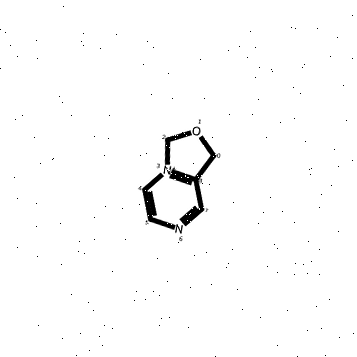 [CH]1OC[n+]2ccncc21